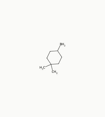 BC1CCC(C)(C)CC1